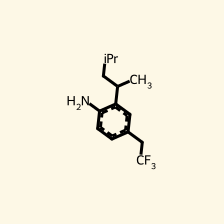 CC(C)CC(C)c1cc(CC(F)(F)F)ccc1N